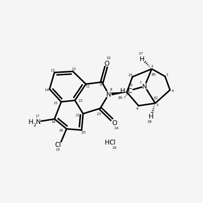 CN1[C@@H]2CC[C@H]1C[C@@H](N1C(=O)c3cccc4c(N)c(Cl)cc(c34)C1=O)C2.Cl